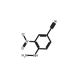 N#Cc1ccc(NN)c([N+](=O)[O-])c1